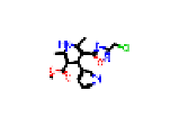 COC(=O)C1=C(C)NC(C)=C(c2nc(CCl)no2)C1c1cccnc1